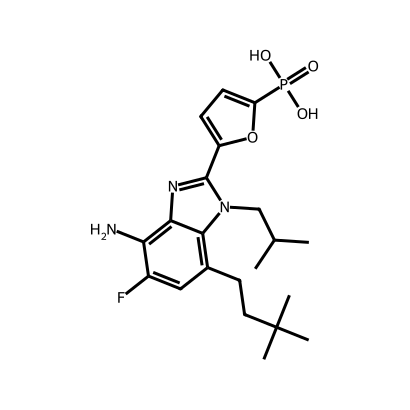 CC(C)Cn1c(-c2ccc(P(=O)(O)O)o2)nc2c(N)c(F)cc(CCC(C)(C)C)c21